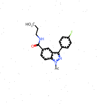 CC(=O)n1nc(-c2ccc(F)cc2)c2cc(C(=O)NCCC(=O)O)ccc21